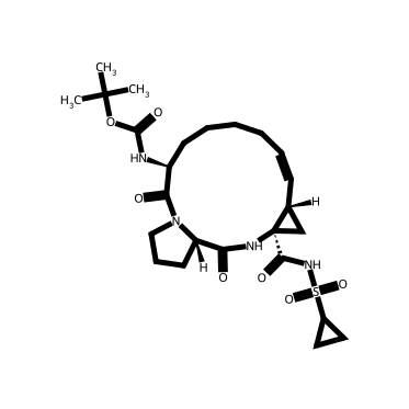 CC(C)(C)OC(=O)N[C@H]1CCCC/C=C\[C@@H]2C[C@@]2(C(=O)NS(=O)(=O)C2CC2)NC(=O)[C@@H]2CCCN2C1=O